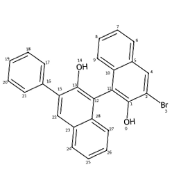 Oc1c(Br)cc2ccccc2c1-c1c(O)c(-c2ccccc2)cc2ccccc12